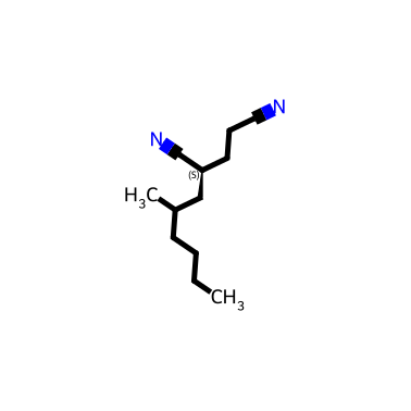 CCCCC(C)C[C@@H](C#N)CCC#N